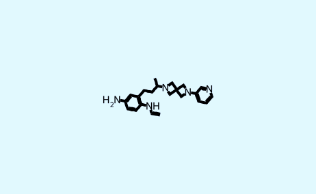 C=CNc1ccc(N)cc1CCC(C)N1CC2(CN(c3cccnc3)C2)C1